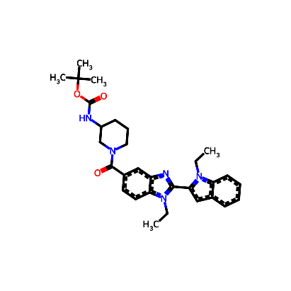 CCn1c(-c2nc3cc(C(=O)N4CCCC(NC(=O)OC(C)(C)C)C4)ccc3n2CC)cc2ccccc21